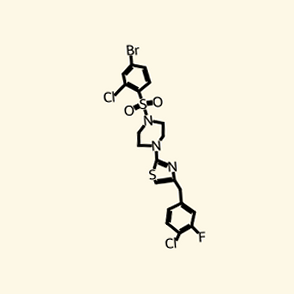 O=S(=O)(c1ccc(Br)cc1Cl)N1CCN(c2nc(Cc3ccc(Cl)c(F)c3)cs2)CC1